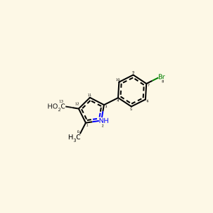 Cc1[nH]c(-c2ccc(Br)cc2)cc1C(=O)O